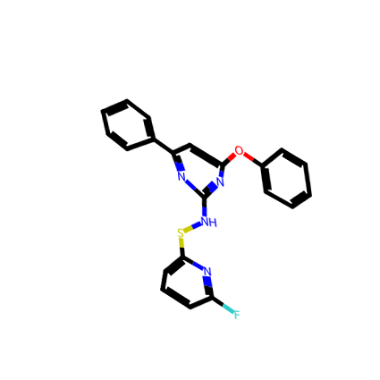 Fc1cccc(SNc2nc(Oc3ccccc3)cc(-c3ccccc3)n2)n1